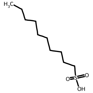 CCCCCCCCCCS(=O)(=O)O